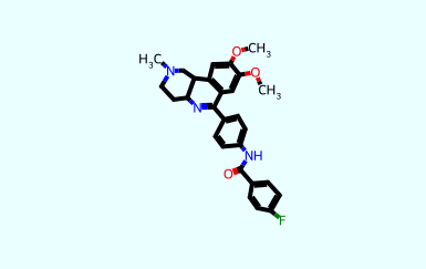 COc1cc2c(cc1OC)C1CN(C)CCC1N=C2c1ccc(NC(=O)c2ccc(F)cc2)cc1